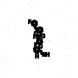 N=C/C=C1\NC=CC=C1Oc1ccc(NC(=O)c2cccn(Cc3cccc(F)c3)c2=O)cc1F